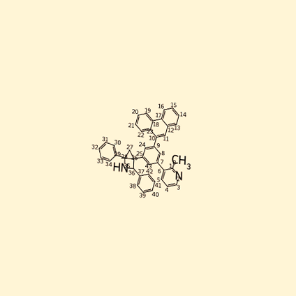 Cc1ncccc1-c1cc(-c2cc3ccccc3c3ccccc23)cc(C23CC2(c2ccccc2)NC3c2ccccc2)c1